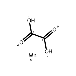 O=C(O)C(=O)O.[Mn]